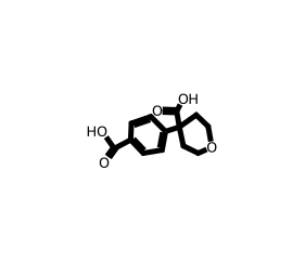 O=C(O)c1ccc(C2(C(=O)O)CCOCC2)cc1